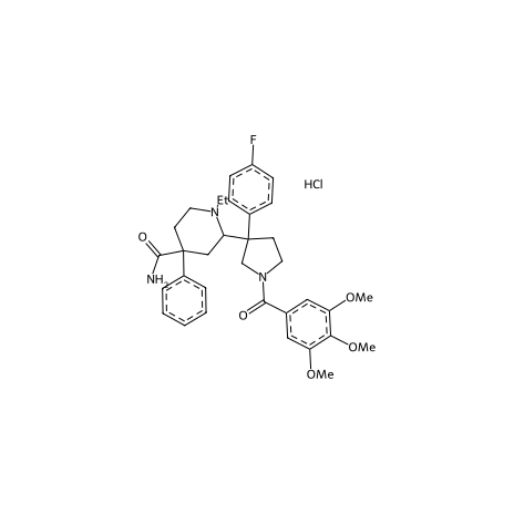 CCN1CCC(C(N)=O)(c2ccccc2)CC1C1(c2ccc(F)cc2)CCN(C(=O)c2cc(OC)c(OC)c(OC)c2)C1.Cl